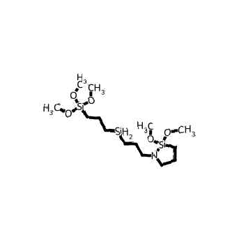 CO[Si](CCC[SiH2]CCCN1CCC[Si]1(OC)OC)(OC)OC